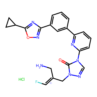 Cl.NC/C(=C\F)Cn1ncn(-c2cccc(-c3cccc(-c4noc(C5CC5)n4)c3)n2)c1=O